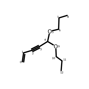 C=CC#CC(OCCC)OCCC